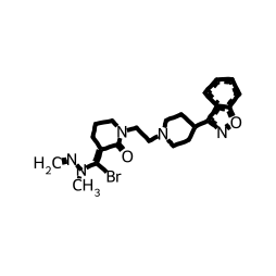 C=NN(C)/C(Br)=C1\CCCN(CCN2CCC(c3noc4ccccc34)CC2)C1=O